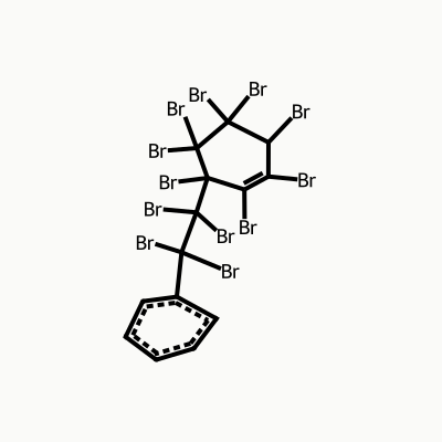 BrC1=C(Br)C(Br)(C(Br)(Br)C(Br)(Br)c2ccccc2)C(Br)(Br)C(Br)(Br)C1Br